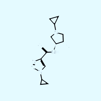 C[C@H]1CN(C2CC2)C[C@@H]1NC(=O)c1cn(C2CC2)nn1